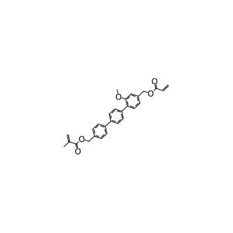 C=CC(=O)OCc1ccc(-c2ccc(-c3ccc(COC(=O)C(=C)C)cc3)cc2)c(OC)c1